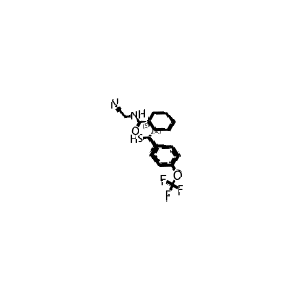 N#CCNC(=O)[C@H]1CCCC[C@@H]1C(S)c1ccc(OC(F)(F)F)cc1